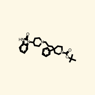 CC(C)(C)OC(=O)N1CCC(CCCN2CCC(n3c(=O)[nH]c4ccccc43)CC2)(c2ccccc2)CC1